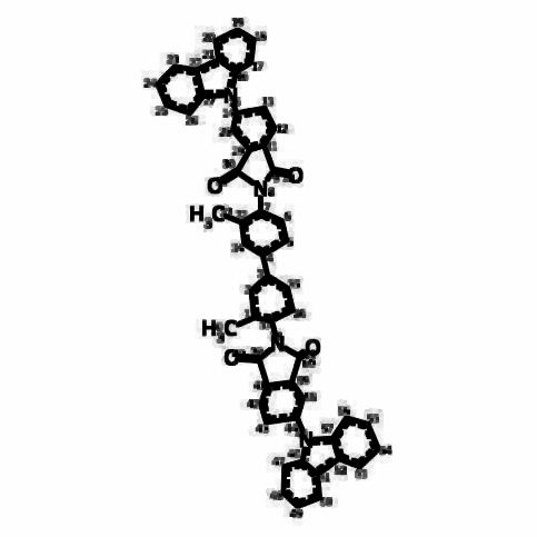 Cc1cc(-c2ccc(N3C(=O)c4ccc(-n5c6ccccc6c6ccccc65)cc4C3=O)c(C)c2)ccc1N1C(=O)c2ccc(-n3c4ccccc4c4ccccc43)cc2C1=O